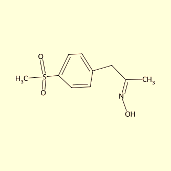 CC(Cc1ccc(S(C)(=O)=O)cc1)=NO